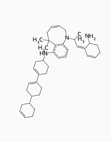 CC(/C=C1/C=CCCC1N)N1C/C=C\CC(C)(C)c2c(NC3CC=C(C4=CCC(C5CC=CCC5)CC4)CC3)cccc21